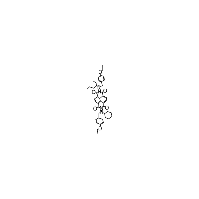 CCCC(CC)N(Cc1ccc(OCC)cc1)N1C(=O)c2ccc3c4c(ccc(c24)C1=O)C(=O)N(N(Cc1ccc(OCC)cc1)C1CCCCC1)C3=O